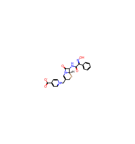 O=C(N[C@@H]1C(=O)N2C=C(C[n+]3ccc(C(=O)[O-])cc3)CS[C@@H]12)C(=NO)c1ccccc1